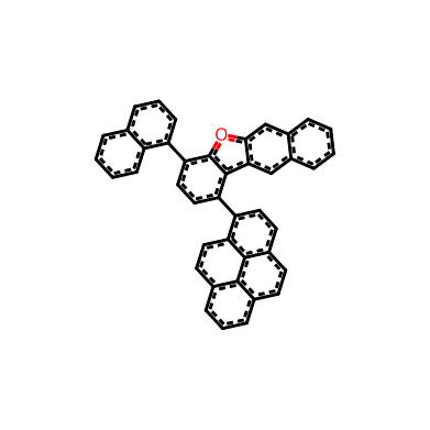 c1ccc2cc3c(cc2c1)oc1c(-c2cccc4ccccc24)ccc(-c2ccc4ccc5cccc6ccc2c4c56)c13